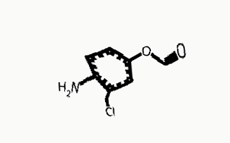 Nc1ccc(OC=O)cc1Cl